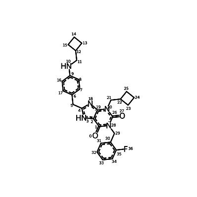 O=c1c2[nH]c(Cc3ccc(NCC4CCC4)cc3)nc2n(CC2CCC2)c(=O)n1Cc1ccccc1F